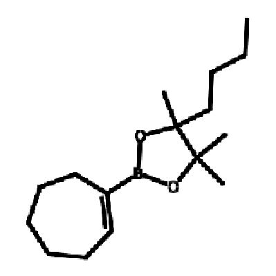 CCCCC1(C)OB(C2=CCCCCC2)OC1(C)C